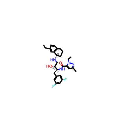 CCc1ccc2c(c1)[C@@H](NC[C@@H](O)[C@H](Cc1cc(F)cc(F)c1)NC(=O)c1cc(C)nn1CC)CCC2